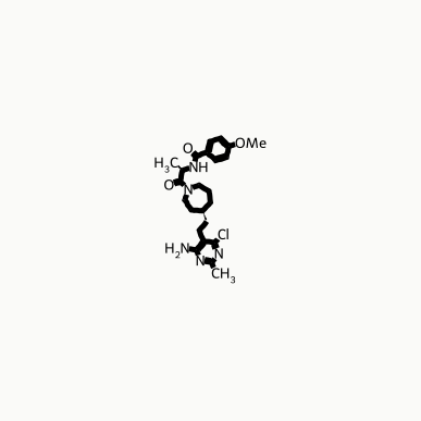 COc1ccc(C(=O)N[C@@H](C)C(=O)N2CCC[C@H](CCc3c(N)nc(C)nc3Cl)CC2)cc1